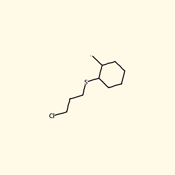 [CH2]C1CCCCC1SCCCCl